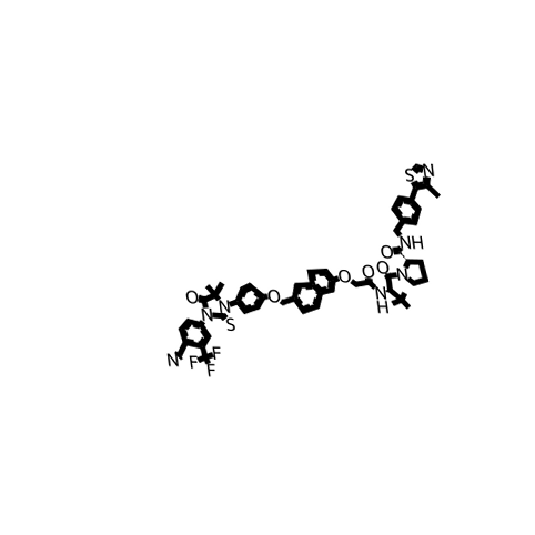 Cc1ncsc1-c1ccc(CNC(=O)[C@@H]2CCCN2C(=O)[C@@H](NC(=O)COc2ccc3cc(COc4ccc(N5C(=S)N(c6ccc(C#N)c(C(F)(F)F)c6)C(=O)C5(C)C)cc4)ccc3c2)C(C)(C)C)cc1